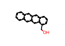 OCc1cccc2cc3cc4ccccc4cc3cc12